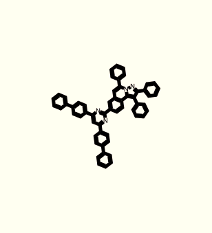 c1ccc(-c2ccc(-c3cc(-c4ccc(-c5ccccc5)cc4)nc(-c4ccc5c(c4)cc(-c4ccccc4)n4nc(-c6ccccc6)c(-c6ccccc6)c54)n3)cc2)cc1